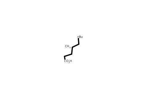 C.CCCCCCCCC(=O)O